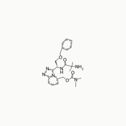 CN(C)C(=O)OCc1cccc2nnc([C@@H](COCc3ccccc3)NC(=O)C(C)(C)N)n12